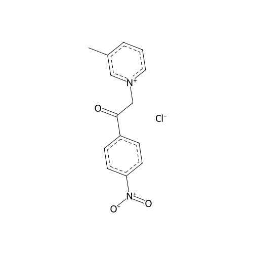 Cc1ccc[n+](CC(=O)c2ccc([N+](=O)[O-])cc2)c1.[Cl-]